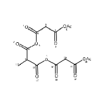 CC(=O)OC(=O)CC(=O)OC(=O)C(C)C(=O)OC(=O)CC(=O)OC(C)=O